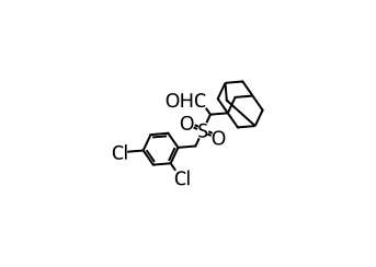 O=CC(C12CC3CC(CC(C3)C1)C2)S(=O)(=O)Cc1ccc(Cl)cc1Cl